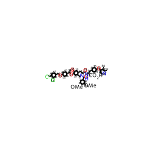 COc1ccc(C(=O)N2Cc3cc4c(cc3C[C@H]2C(=O)N[C@@H](Cc2ccc(Oc3ccnc(C)c3C)cc2)C(=O)O)OC[C@H](c2ccc(OCc3ccc(Cl)c(Cl)c3)cc2)O4)cc1OC